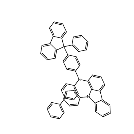 c1ccc(-c2ccc(N(c3ccc(C4(c5ccccc5)c5ccccc5-c5ccccc54)cc3)c3cccc4c5ccccc5n(-c5ccccc5)c34)cc2)cc1